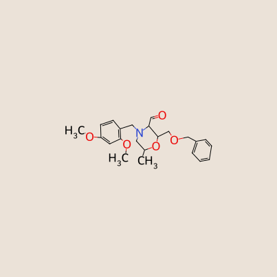 COc1ccc(CN2CC(C)OC(COCc3ccccc3)C2C=O)c(OC)c1